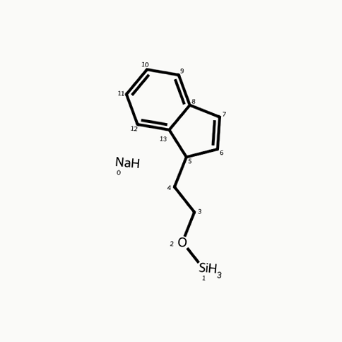 [NaH].[SiH3]OCCC1C=Cc2ccccc21